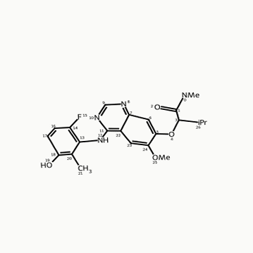 CNC(=O)C(Oc1cc2ncnc(Nc3c(F)ccc(O)c3C)c2cc1OC)C(C)C